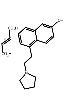 O=C(O)/C=C/C(=O)O.Oc1ccc2c(CCN3CCCC3)cccc2c1